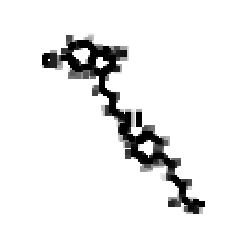 Clc1ccc2[nH]cc(CCCNSc3ccc(CCCCBr)cc3)c2c1